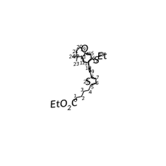 CCOC(=O)CCCCc1ccc(C#Cc2cc3c(cc2SCC)OCCC3(C)C)s1